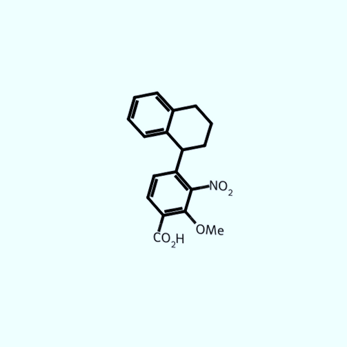 COc1c(C(=O)O)ccc(C2CCCc3ccccc32)c1[N+](=O)[O-]